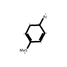 CSC1=CCC(C(C)=O)C=C1